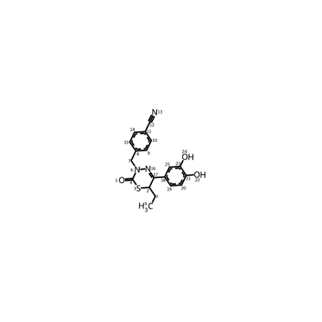 CCC1SC(=O)N(Cc2ccc(C#N)cc2)N=C1c1ccc(O)c(O)c1